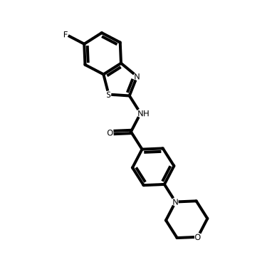 O=C(Nc1nc2ccc(F)cc2s1)c1ccc(N2CCOCC2)cc1